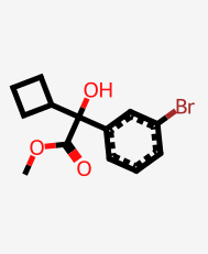 COC(=O)C(O)(c1cccc(Br)c1)C1CCC1